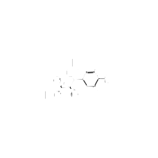 CC(C(=O)C(=O)O)c1ccc(Cl)cc1